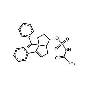 C=C(c1ccccc1)[C@@]12CC[C@H](OS(=O)(=O)NC(N)=O)C1CC=C2c1ccccc1